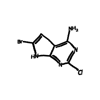 Nc1nc(Cl)nc2[nH]c(Br)cc12